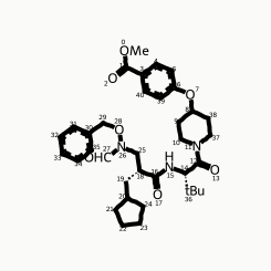 COC(=O)c1ccc(OC2CCN(C(=O)[C@@H](NC(=O)[C@H](CC3CCCC3)CN(C=O)OCc3ccccc3)C(C)(C)C)CC2)cc1